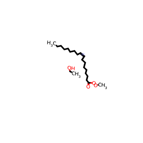 CCCCCCCC/C=C\CCCCCCCC(=O)OOC.CCO